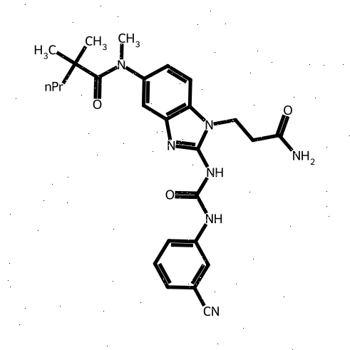 CCCC(C)(C)C(=O)N(C)c1ccc2c(c1)nc(NC(=O)Nc1cccc(C#N)c1)n2CCC(N)=O